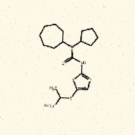 CCOC(=O)C(C)Sc1cnc(NC(=O)N(C2CCCCCC2)C2CCCC2)s1